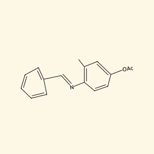 CC(=O)Oc1ccc(N=Cc2ccccc2)c(C)c1